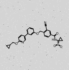 N#Cc1cc(C(=O)NC2([SH](=O)=O)CC2)ccc1COc1cccc(-c2ccc(OCC3CC3)nc2)c1